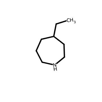 CCC1CCCNCC1